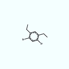 CCc1cc(CC)c(Br)cc1Br